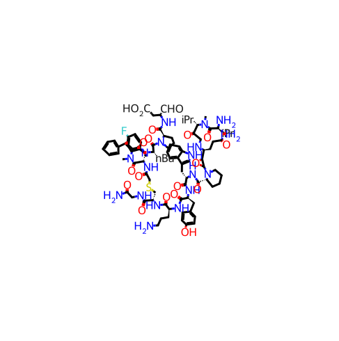 CCCC[C@@H](C(=O)N1CCC[C@@H]1C(=O)N[C@H](C=O)CC(=O)O)N(C)C(=O)/C(=C/c1ccccc1)N(C)C(=O)[C@H](Cc1ccc(F)cc1)NC(=O)CSC[C@H](NC(=O)[C@H](CCCN)NC(=O)[C@H](Cc1ccc(O)cc1)NC(=O)[C@H](Cc1c[nH]c2ccccc12)NC(=O)[C@H]1CCCCN1C1OC1[C@H](CCC(N)=O)NCC(=O)[C@H](C(C)C)N(C)C(=O)[C@@H](N)C(C)C)C(=O)NCC(N)=O